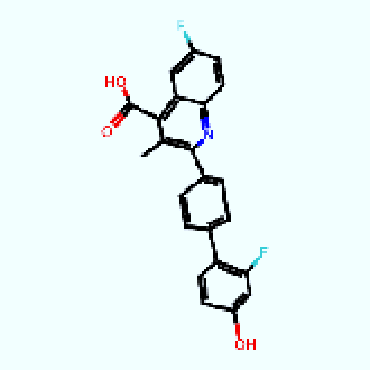 Cc1c(-c2ccc(-c3ccc(O)cc3F)cc2)nc2ccc(F)cc2c1C(=O)O